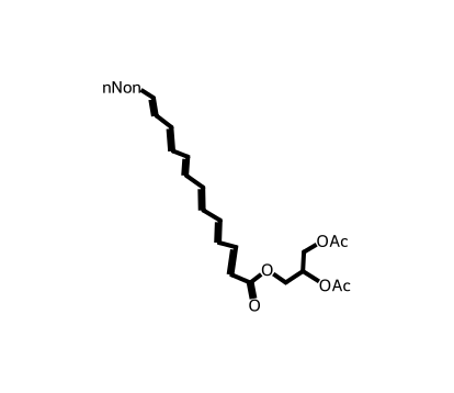 CCCCCCCCCC=CC=CC=CC=CC=CC=CC(=O)OCC(COC(C)=O)OC(C)=O